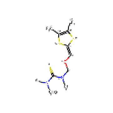 CCN(C=O)C(=S)N(CC)COC=C1SC(C(F)(F)F)=C(C(F)(F)F)S1